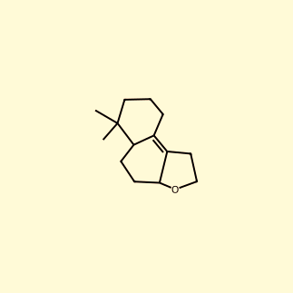 CC1(C)CCCC2=C3CCOC3CCC21